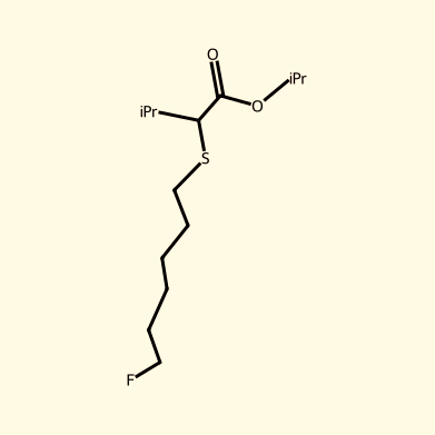 CC(C)OC(=O)C(SCCCCCCF)C(C)C